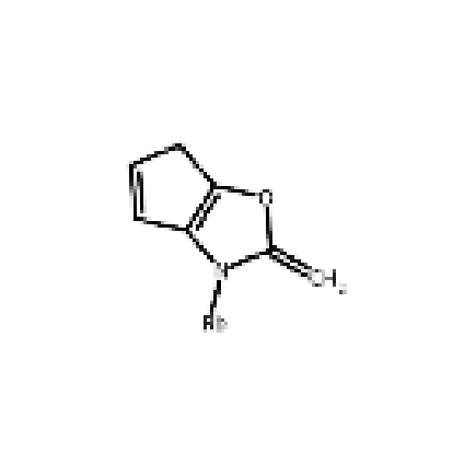 C=C1OC2=C(C=CC2)[N]1[Rb]